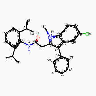 CC(C)c1cccc(C(C)C)c1NC(=O)Cc1c(-c2ccccc2)c2cc(Cl)ccc2n1C